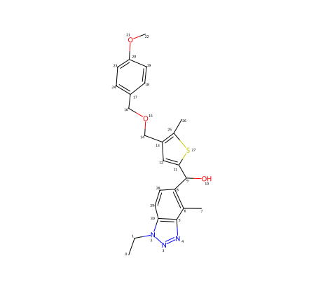 CCn1nnc2c(C)c(C(O)c3cc(COCc4ccc(OC)cc4)c(C)s3)ccc21